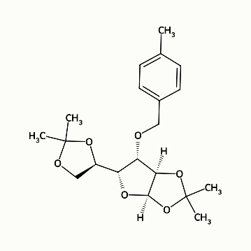 Cc1ccc(CO[C@@H]2[C@H]3OC(C)(C)O[C@H]3O[C@@H]2[C@H]2COC(C)(C)O2)cc1